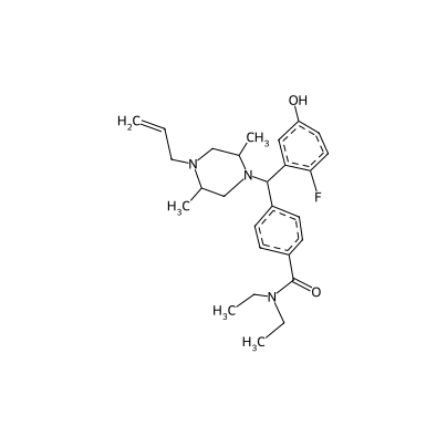 C=CCN1CC(C)N(C(c2ccc(C(=O)N(CC)CC)cc2)c2cc(O)ccc2F)CC1C